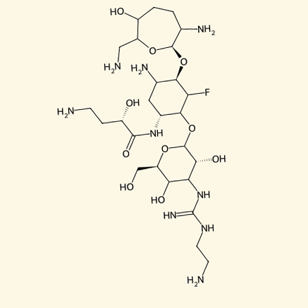 N=C(NCCN)NC1C(O)[C@@H](CO)OC(OC2C(F)[C@H](O[C@H]3OC(CN)C(O)CCC3N)C(N)C[C@H]2NC(=O)[C@@H](O)CCN)[C@@H]1O